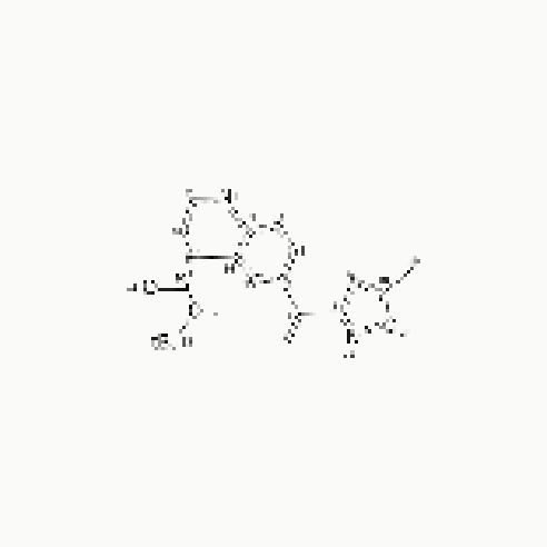 C=C(c1ccc2nccc(C(=O)OC(C)(C)C)c2c1)c1cc(C)on1